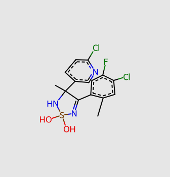 Cc1cc(Cl)c(F)cc1C1=NS(O)(O)NC1(C)c1ccc(Cl)nc1